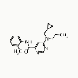 CCCN(CC1CC1)c1cc(C(=O)Nc2ccccc2C)ncn1